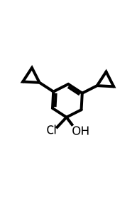 OC1(Cl)C=C(C2CC2)C=C(C2CC2)C1